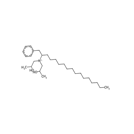 CCCCCCCCCCCCCCCC(Cc1ccccc1)[N+](CC(C)O)CC(C)O